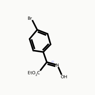 CCOC(=O)/C(=N\O)c1ccc(Br)cc1